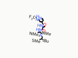 CN/C=C(/NC(=O)C1=COC(c2ccnc(NCC(F)(F)F)c2)N1)C(NC)N(C)CC(CSC)C(C)(C)C